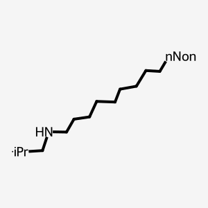 CCCCCCCCCCCCCCCCCCNC[C](C)C